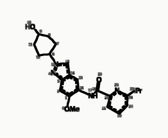 COc1cc2nn(C3CCC(O)CC3)cc2cc1NC(=O)c1cccc(C(C)C)n1